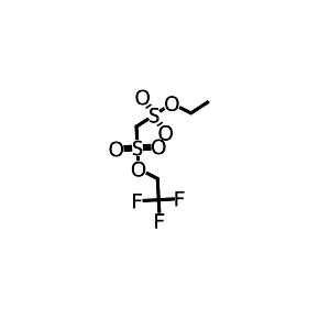 CCOS(=O)(=O)CS(=O)(=O)OCC(F)(F)F